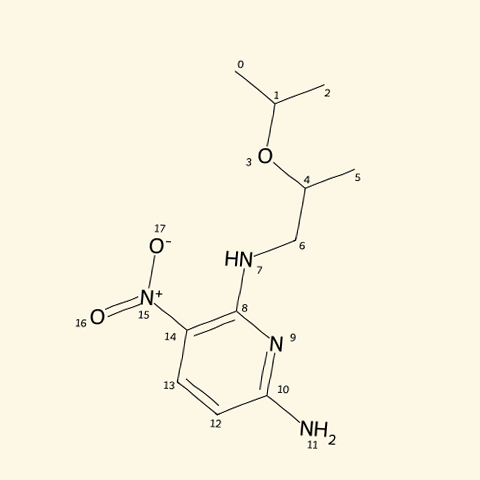 CC(C)OC(C)CNc1nc(N)ccc1[N+](=O)[O-]